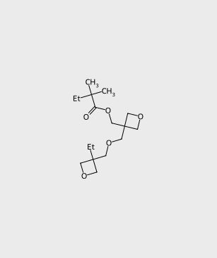 CCC1(COCC2(COC(=O)C(C)(C)CC)COC2)COC1